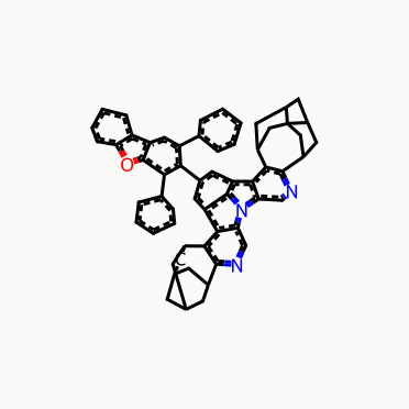 c1ccc(-c2cc3c(oc4ccccc43)c(-c3ccccc3)c2-c2cc3c4c5c(ncc4n4c6cnc7c(c6c(c2)c34)C2CC3CC4CC7CC43C2)C2CC3CC(C2)CC5C3)cc1